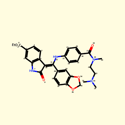 CCOC(=O)c1ccc2c(c1)NC(=O)C2=C(Nc1ccc(C(=O)N(C)CCN(C)C)cc1)c1ccc2c(c1)OCO2